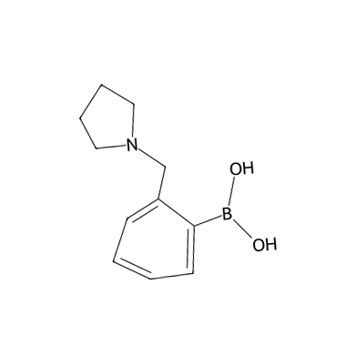 OB(O)c1ccccc1CN1CCCC1